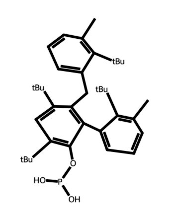 Cc1cccc(Cc2c(C(C)(C)C)cc(C(C)(C)C)c(OP(O)O)c2-c2cccc(C)c2C(C)(C)C)c1C(C)(C)C